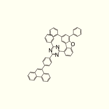 c1ccc(-c2cc(-c3ccccc3)c3oc4cccc(-c5nc(-c6ccccc6)nc(-c6ccc(-c7cc8ccccc8c8ccccc78)cc6)n5)c4c3c2)cc1